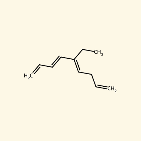 C=CC=CC(=CCC=C)CC